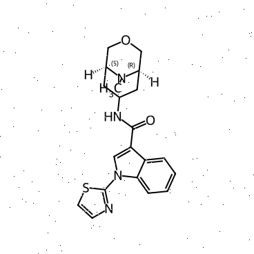 CN1[C@@H]2COC[C@H]1CC(NC(=O)c1cn(-c3nccs3)c3ccccc13)C2